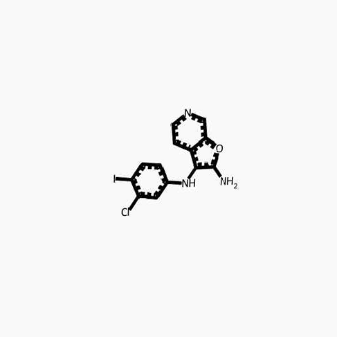 Nc1oc2cnccc2c1Nc1ccc(I)c(Cl)c1